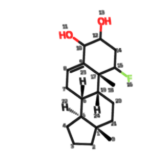 C[C@@]12CCC[C@H]1[C@@H]1CC=C3C(O)C(O)CC(F)[C@]3(C)[C@@H]1CC2